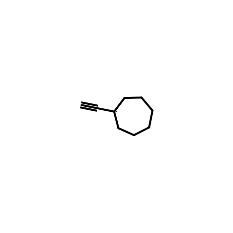 C#C[C]1CCCCCC1